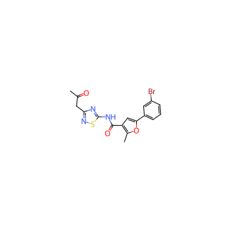 CC(=O)Cc1nsc(NC(=O)c2cc(-c3cccc(Br)c3)oc2C)n1